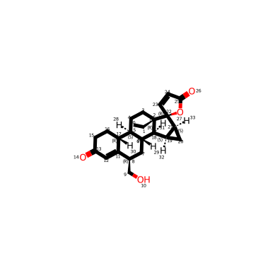 CC[C@]12CC[C@H]3[C@@H](C[C@@H](CO)C4=CC(=O)CC[C@@H]43)[C@@H]1[C@@H]1C[C@@H]1[C@@]21C=CC(=O)O1